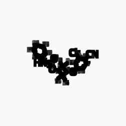 CC1(C)[C@H](Oc2ccc(C#N)c(Cl)c2)C(C)(C)[C@H]1OS(=O)Nc1ccccc1